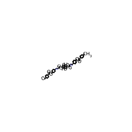 Cc1ccc(C(=O)Oc2ccc(/C=C/C(=O)O[C@H]3CO[C@H]4[C@@H]3OC[C@H]4OC(=O)/C=C/c3ccc(OC(=O)c4ccc(C=O)cc4)cc3)cc2)cc1